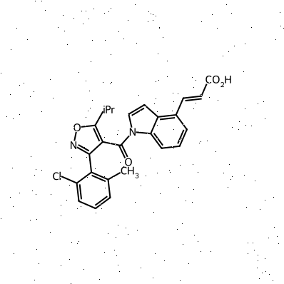 Cc1cccc(Cl)c1-c1noc(C(C)C)c1C(=O)n1ccc2c(/C=C/C(=O)O)cccc21